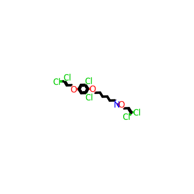 ClC(Cl)=CCON=CCCCCCOc1c(Cl)cc(OCC=C(Cl)Cl)cc1Cl